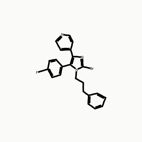 Fc1ccc(-c2c(-c3ccncc3)nc(Br)n2CCCc2ccccc2)cc1